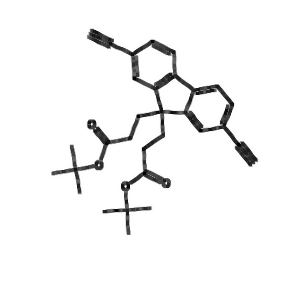 C#Cc1ccc2c(c1)C(CCC(=O)OC(C)(C)C)(CCC(=O)OC(C)(C)C)c1cc(C#C)ccc1-2